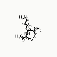 CC(=O)C1CSSCC(N)C(=O)[C@H](CCCCN)N1